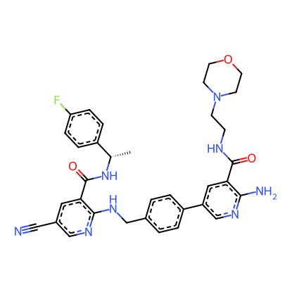 C[C@H](NC(=O)c1cc(C#N)cnc1NCc1ccc(-c2cnc(N)c(C(=O)NCCN3CCOCC3)c2)cc1)c1ccc(F)cc1